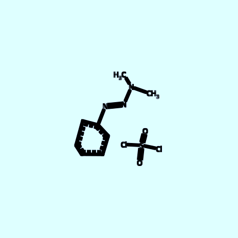 CN(C)N=Nc1ccccc1.O=S(=O)(Cl)Cl